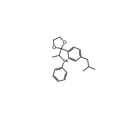 CC(C)Cc1ccc(C2(C(C)[Se]c3ccccc3)OCCO2)cc1